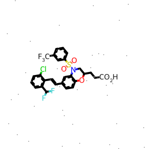 O=C(O)CCC1CN(S(=O)(=O)c2cccc(C(F)(F)F)c2)c2cc(C=Cc3c(Cl)cccc3C(F)F)ccc2O1